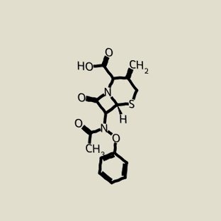 C=C1CS[C@@H]2C(N(Oc3ccccc3)C(C)=O)C(=O)N2C1C(=O)O